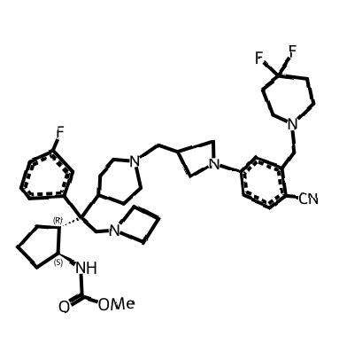 COC(=O)N[C@H]1CCC[C@@H]1C(CN1CCC1)(c1cccc(F)c1)C1CCN(CC2CN(c3ccc(C#N)c(CN4CCC(F)(F)CC4)c3)C2)CC1